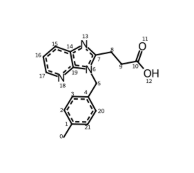 Cc1ccc(Cn2c(CCC(=O)O)nc3cccnc32)cc1